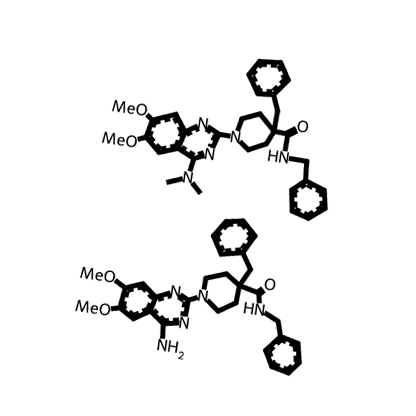 COc1cc2nc(N3CCC(Cc4ccccc4)(C(=O)NCc4ccccc4)CC3)nc(N(C)C)c2cc1OC.COc1cc2nc(N3CCC(Cc4ccccc4)(C(=O)NCc4ccccc4)CC3)nc(N)c2cc1OC